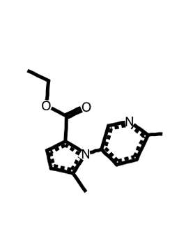 CCOC(=O)c1ccc(C)n1-c1ccc(C)nc1